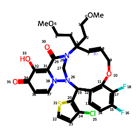 COCCC1(CCOC)/C=C/COc2c(ccc(F)c2F)C(c2sccc2Cl)N2CN1C(=O)c1c(O)c(=O)ccn12